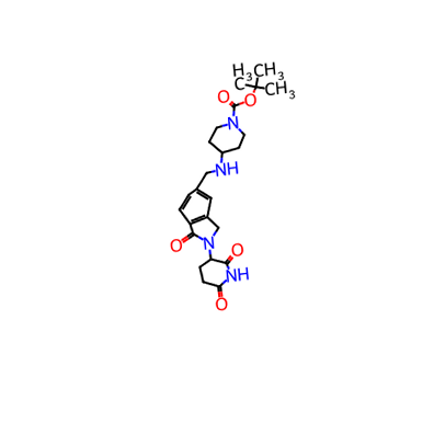 CC(C)(C)OC(=O)N1CCC(NCc2ccc3c(c2)CN(C2CCC(=O)NC2=O)C3=O)CC1